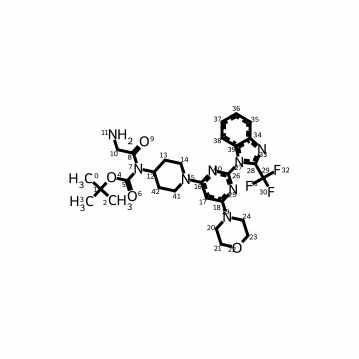 CC(C)(C)OC(=O)N(C(=O)CN)C1CCN(c2cc(N3CCOCC3)nc(-n3c(C(F)(F)F)nc4ccccc43)n2)CC1